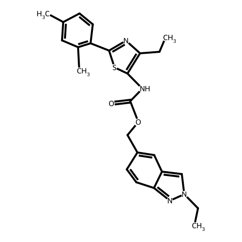 CCc1nc(-c2ccc(C)cc2C)sc1NC(=O)OCc1ccc2nn(CC)cc2c1